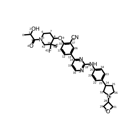 CC(O)C(=O)N1CCC(Oc2ccc(-c3ccnc(Nc4ccc(C5CCN(C6COC6)C5)cc4)n3)cc2C#N)C(F)(F)C1